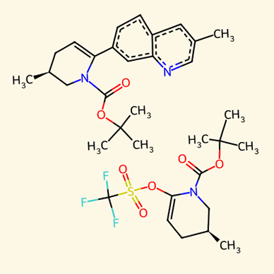 C[C@H]1CC=C(OS(=O)(=O)C(F)(F)F)N(C(=O)OC(C)(C)C)C1.Cc1cnc2cc(C3=CC[C@H](C)CN3C(=O)OC(C)(C)C)ccc2c1